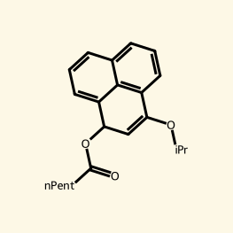 CCCCCC(=O)OC1C=C(OC(C)C)c2cccc3cccc1c23